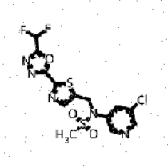 CS(=O)(=O)N(Cc1cnc(-c2nnc(C(F)F)o2)s1)c1cncc(Cl)c1